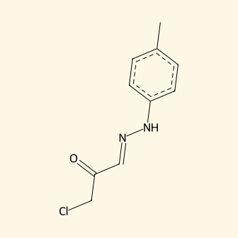 Cc1ccc(N/N=C/C(=O)CCl)cc1